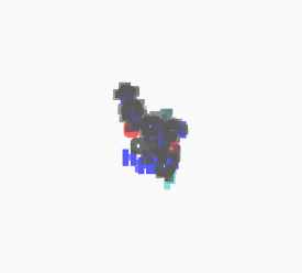 CN1CC(F)CNC1C(C(=O)Nc1cncc(F)c1N1CCC(C(=O)N2CCC(N3CCC3)CC2)CC1)C(N)N=O